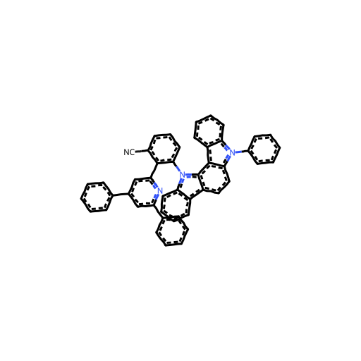 N#Cc1cccc(-n2c3ccccc3c3ccc4c(c5ccccc5n4-c4ccccc4)c32)c1-c1cc(-c2ccccc2)cc(-c2ccccc2)n1